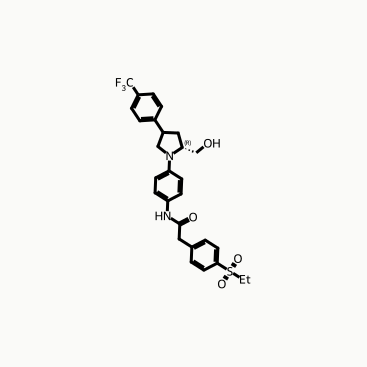 CCS(=O)(=O)c1ccc(CC(=O)Nc2ccc(N3CC(c4ccc(C(F)(F)F)cc4)C[C@@H]3CO)cc2)cc1